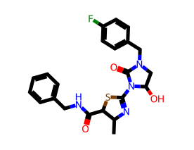 CC1N=C(N2C(=O)N(Cc3ccc(F)cc3)CC2O)SC1C(=O)NCc1ccccc1